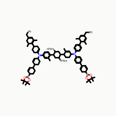 CCCCCCC1CC(C2CCC(N(c3ccc(C4=CCC(B5OC(C)(C)C(C)(C)O5)C=C4)cc3)c3ccc(C4C(C)=CC(CC(C)C)=CC4C)cc3)C=C2C)C(CCCCCC)CC1c1ccc(N(C2=CCC(C3=C(C)C=C(CC(C)C)CC3C)CC2)C2C=CC(C3C=CC(B4OC(C)(C)C(C)(C)O4)CC3)CC2)cc1C